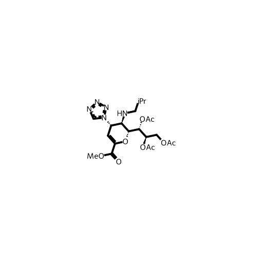 COC(=O)C1=C[C@H](n2cnnn2)[C@@H](NCC(C)C)[C@H]([C@H](OC(C)=O)[C@@H](COC(C)=O)OC(C)=O)O1